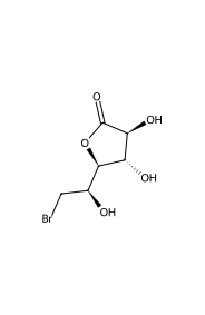 O=C1O[C@H]([C@@H](O)CBr)[C@@H](O)[C@@H]1O